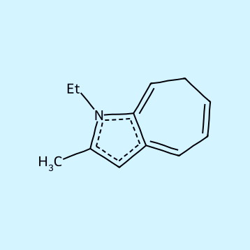 CCn1c(C)cc2c1=CCC=CC=2